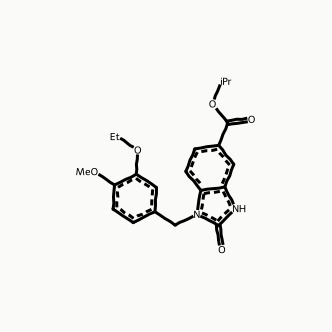 CCOc1cc(Cn2c(=O)[nH]c3cc(C(=O)OC(C)C)ccc32)ccc1OC